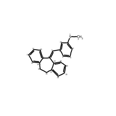 CSc1cccc(C=C2c3ccccc3CCc3ccccc32)c1